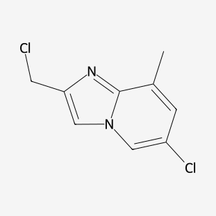 Cc1cc(Cl)cn2cc(CCl)nc12